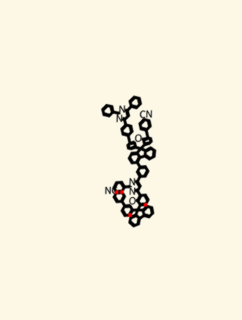 N#Cc1ccc(-c2cccc3c2Oc2c(-c4cc(-c5cccc(-c6cccc7c6-c6ccccc6C76c7cccc(-c8ccc(C#N)cc8)c7Oc7c(-c8ccc(-c9cc(-c%10ccccc%10)nc(-c%10ccccc%10)n9)cc8)cccc76)c5)nc(-c5ccccc5)n4)cccc2C32c3ccccc3-c3ccccc32)cc1